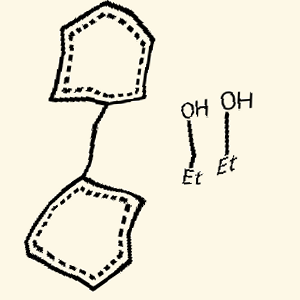 CCO.CCO.c1ccc(-c2ccccc2)cc1